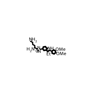 CCc1c(-c2ccc(OC)c(OC)c2)[nH]c2ccc(-c3noc([C@@H](N)CCCCN)n3)cc12